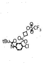 CC(C)(C)c1nc2ccc(Cl)c(S(=O)(=O)[C@H]3C[C@@H](OS(=O)(=O)C(F)(F)F)C3)c2o1